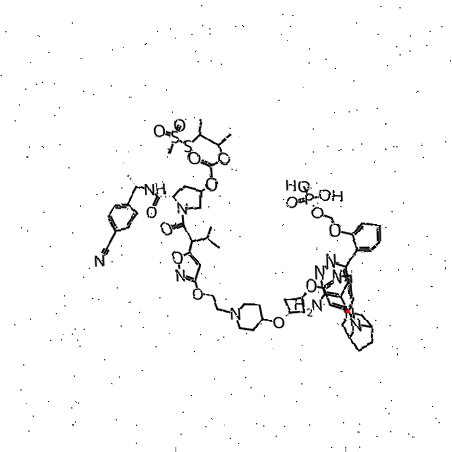 CC(C)C(C(=O)N1C[C@H](OC(=O)OC(C)C(C)SS(C)(=O)=O)C[C@H]1C(=O)N[C@@H](C)c1ccc(C#N)cc1)c1cc(OCCN2CCC(O[C@H]3C[C@H](Oc4cc(N5C6CCC5CN(c5cc(-c7ccccc7OCOP(=O)(O)O)nnc5N)C6)ccn4)C3)CC2)no1